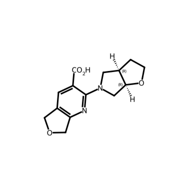 O=C(O)c1cc2c(nc1N1C[C@H]3CCO[C@H]3C1)COC2